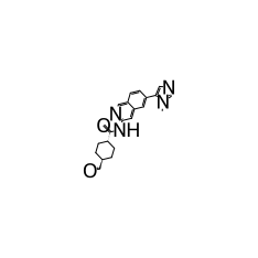 Cn1cncc1-c1ccc2cnc(NC(=O)[C@H]3CC[C@H](C=O)CC3)cc2c1